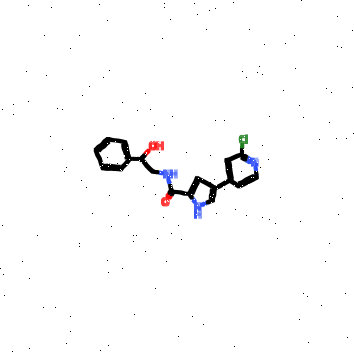 O=C(NCC(O)c1ccccc1)c1cc(-c2ccnc(Cl)c2)c[nH]1